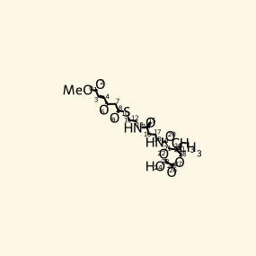 COC(=O)/C=C/C(=O)CC(=O)SCCNC(=O)CCNC(=O)[C@@H]1OC(O)C(=O)OCC1(C)C